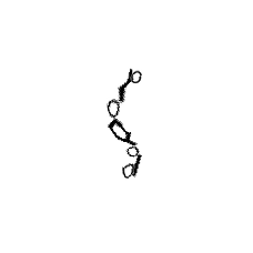 C(CC1CO1)OC1CCC(COCC2CO2)CC1